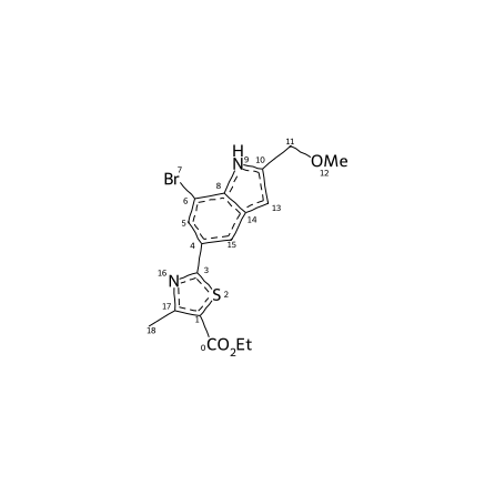 CCOC(=O)c1sc(-c2cc(Br)c3[nH]c(COC)cc3c2)nc1C